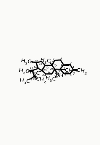 C=C1C=CC2(C)C(=C1)CCC1(C)C3CC(C)C(C(=C)C(=C)C)C3(C)CCC21BC